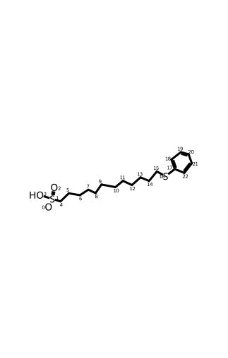 O=S(=O)(O)CCCCCCCCCCCCSc1ccccc1